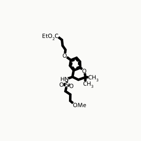 CCOC(=O)CCCOc1ccc2c(c1)C(NS(=O)(=O)CCCOC)CC(C)(C)O2